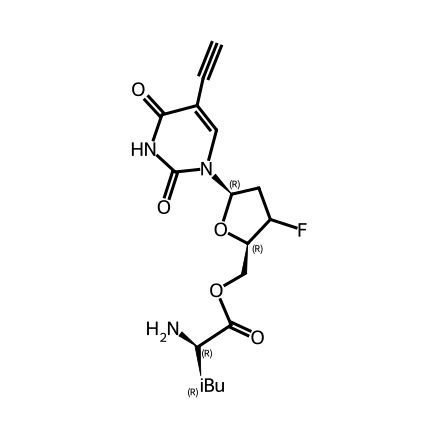 C#Cc1cn([C@H]2CC(F)[C@@H](COC(=O)[C@H](N)[C@H](C)CC)O2)c(=O)[nH]c1=O